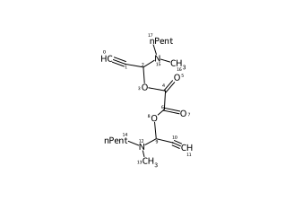 C#CC(OC(=O)C(=O)OC(C#C)N(C)CCCCC)N(C)CCCCC